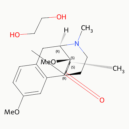 COc1ccc2c(c1)[C@]13CCN(C)[C@H](C2)[C@]1(OC)C[C@H](C)C(=O)C3.OCCO